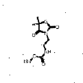 CC(C)(C)OC(=O)NCCN1C(=O)SC(C)(C)C1=O